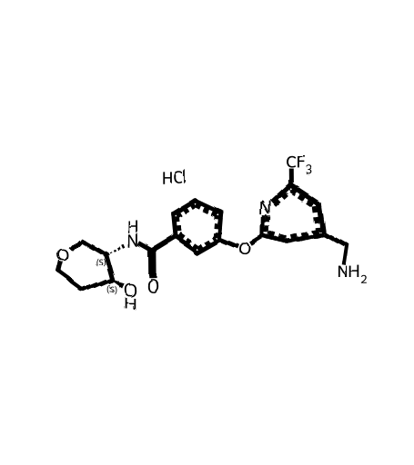 Cl.NCc1cc(Oc2cccc(C(=O)N[C@H]3COCC[C@@H]3O)c2)nc(C(F)(F)F)c1